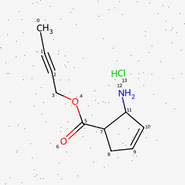 CC#CCOC(=O)C1CC=CC1N.Cl